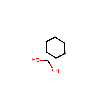 C1CCCCC1.OCO